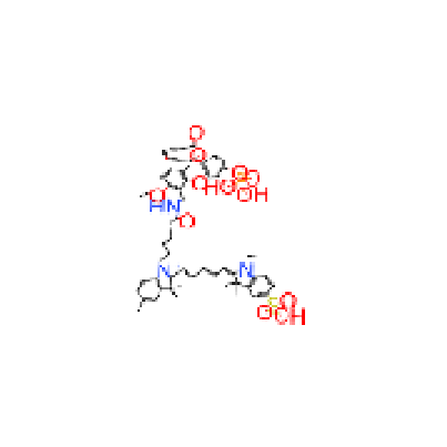 CCOc1ccc2c(c1CNC(=O)CCCCC[N+]1=C(/C=C/C=C/C=C3/N(CC)c4ccc(S(=O)(=O)O)cc4C3(C)C)C(C)(C)c3cc(C)ccc31)Oc1cc(OP(=O)(O)O)ccc1C21OC(=O)c2ccccc21